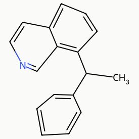 CC(c1ccccc1)c1cccc2ccncc12